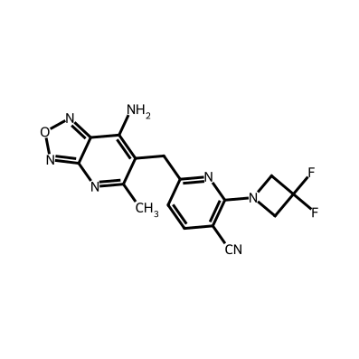 Cc1nc2nonc2c(N)c1Cc1ccc(C#N)c(N2CC(F)(F)C2)n1